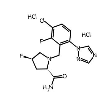 Cl.Cl.NC(=O)[C@@H]1C[C@@H](F)CN1Cc1c(-n2cncn2)ccc(Cl)c1F